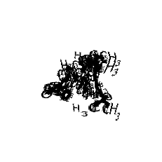 CCC(CC)C(=O)NCCCCCC(=O)N(C)[C@H](C(=O)N[C@H](C(=O)N(C)[C@@H]([C@@H](C)CC)[C@@H](CC(=O)N1CCC[C@H]1[C@H](OC)[C@@H](C)C(=O)N[C@@H](Cc1ccccc1)C(=O)O)OC)C(C)C)C(C)C